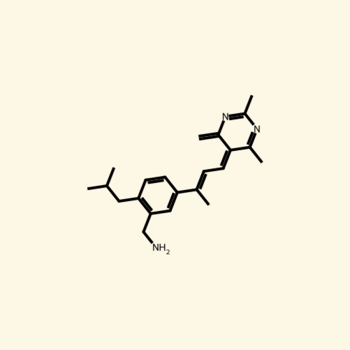 C=c1nc(C)nc(C)/c1=C/C=C(\C)c1ccc(CC(C)C)c(CN)c1